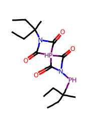 CCC(C)(CC)PN1C(=O)[PH]2(C1=O)C(=O)N(C(C)(CC)CC)C2=O